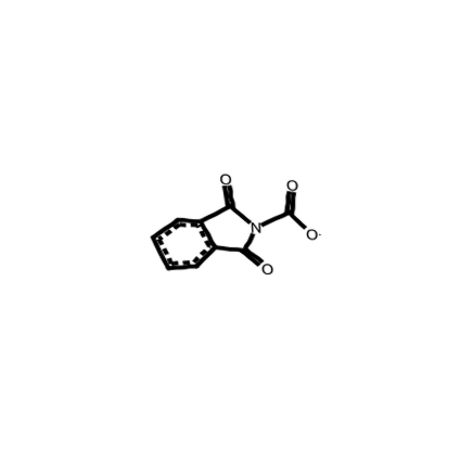 [O]C(=O)N1C(=O)c2ccccc2C1=O